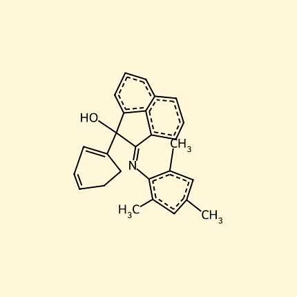 Cc1cc(C)c(/N=C2\c3cccc4cccc(c34)C2(O)C2=CC=CCC2)c(C)c1